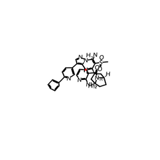 CS(=O)(=O)c1c([C@H]2C[C@H]3CC[C@@H](C2)N3C(=O)c2nccnc2N)nc2c(-c3ccc(-c4ccccc4)nc3)cnn2c1N